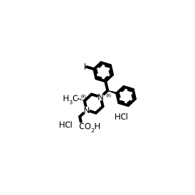 C[C@@H]1CN([C@H](c2ccccc2)c2cccc(I)c2)CCN1CC(=O)O.Cl.Cl